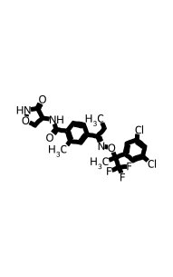 CC/C(=N\OC(C)(c1cc(Cl)cc(Cl)c1)C(F)(F)F)c1ccc(C(=O)NC2CONC2=O)c(C)c1